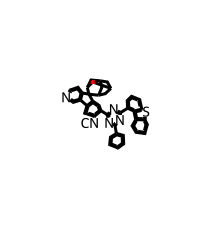 N#Cc1cc2c(cc1-c1nc(-c3ccccc3)nc(-c3cccc4sc5ccccc5c34)n1)C1(c3ccncc3-2)C2CC3CC(C2)CC1C3